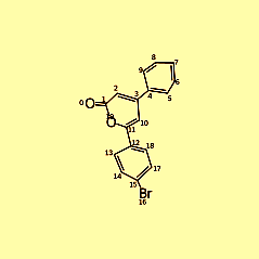 O=c1cc(-c2ccccc2)cc(-c2ccc(Br)cc2)o1